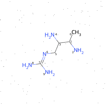 CC(N)C(N)CN=C(N)N